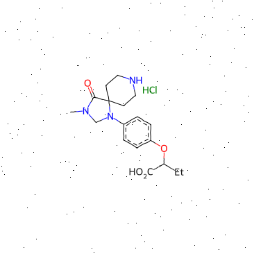 CCC(Oc1ccc(N2CN(C)C(=O)C23CCNCC3)cc1)C(=O)O.Cl